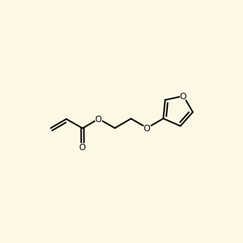 C=CC(=O)OCCOc1ccoc1